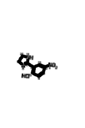 Cl.O=[N+]([O-])c1cccc(C2=NCCN2)c1